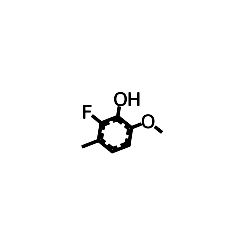 COc1ccc(C)c(F)c1O